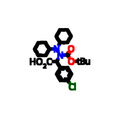 CC(C)(C)OC(=O)N(C(C(=O)O)c1ccc(Cl)cc1)N(C1CCCCC1)C1CCCCC1